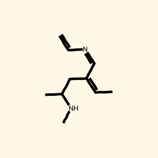 C=C/N=C\C(=C/C)CC(C)NC